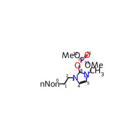 CCCCCCCCCCCN1C=CN(C)C1OP(=O)(OC)OC